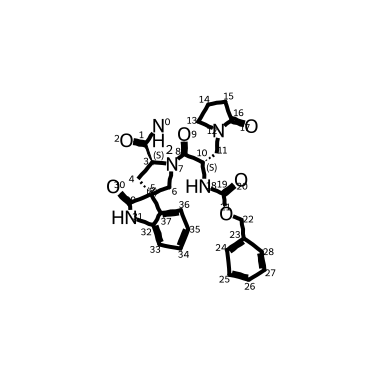 NC(=O)[C@@H]1C[C@@]2(CN1C(=O)[C@H](CN1CCCC1=O)NC(=O)OCc1ccccc1)C(=O)Nc1ccccc12